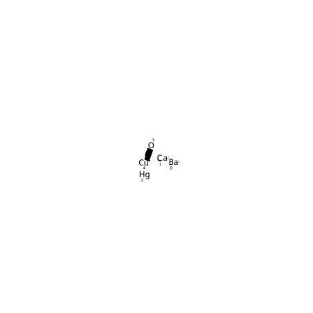 [Ba].[Ca].[Hg].[O]=[Cu]